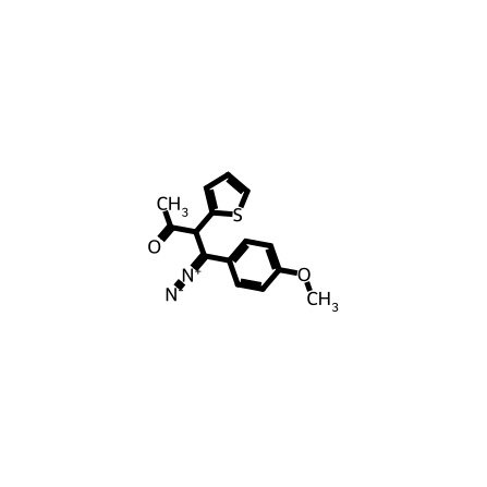 COc1ccc(C(=[N+]=[N-])C(C(C)=O)c2cccs2)cc1